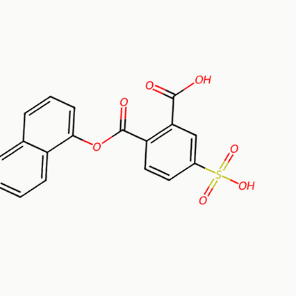 O=C(O)c1cc(S(=O)(=O)O)ccc1C(=O)Oc1cccc2ccccc12